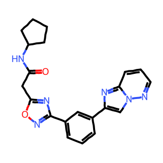 O=C(Cc1nc(-c2cccc(-c3cn4ncccc4n3)c2)no1)NC1CCCC1